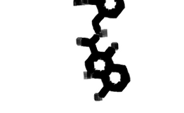 COc1ccccc1CNC(=O)c1c[nH]c2c(Cl)cccc2c1=O